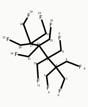 FCC(CF)(CF)C(CF)(CF)C(CF)(CF)C(CF)(CF)CF